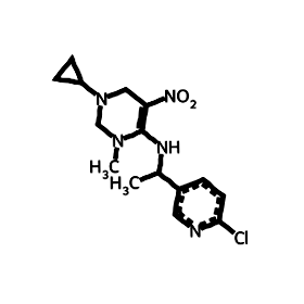 CC(NC1=C([N+](=O)[O-])CN(C2CC2)CN1C)c1ccc(Cl)nc1